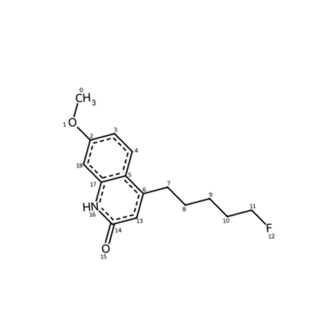 COc1ccc2c(CCCCCF)cc(=O)[nH]c2c1